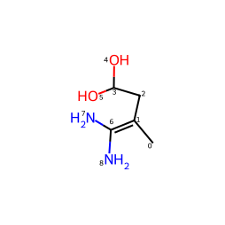 CC(CC(O)O)=C(N)N